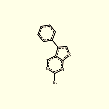 CCc1n[c]c2c(-c3ccccc3)csc2n1